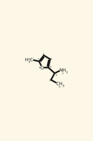 CCC(N)c1ccc(C)o1